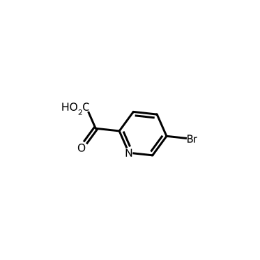 O=C(O)C(=O)c1ccc(Br)cn1